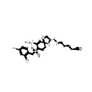 C#CCCCCOC[C@@H]1COC2(C=C(C(=O)OCC)C(S(=O)(=O)Cc3ccc(F)cc3Cl)CC2)O1